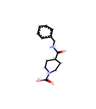 O=C(NCc1ccccc1)C1CCN(C(=O)O)CC1